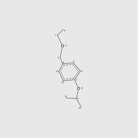 CCOCc1ccc(OC(C)C)cc1